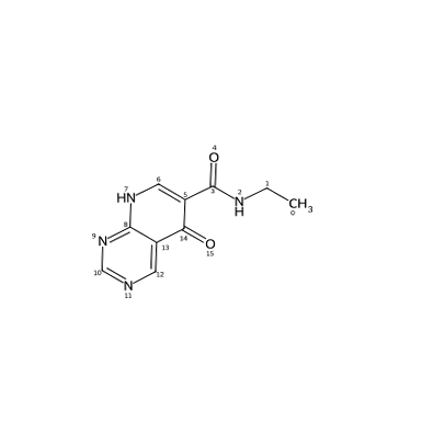 CCNC(=O)c1c[nH]c2ncncc2c1=O